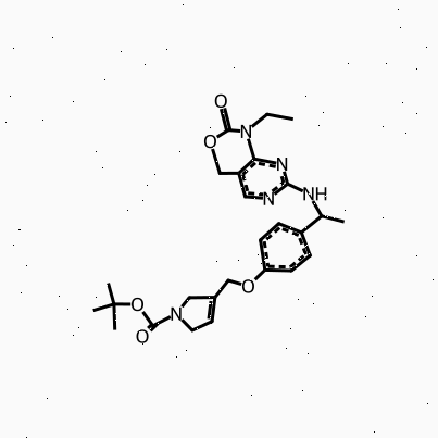 CCN1C(=O)OCc2cnc(NC(C)c3ccc(OCC4=CCN(C(=O)OC(C)(C)C)C4)cc3)nc21